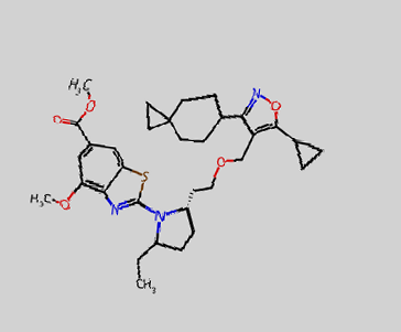 CCC1CC[C@@H](CCOCc2c(C3CCC4(CC3)CC4)noc2C2CC2)N1c1nc2c(OC)cc(C(=O)OC)cc2s1